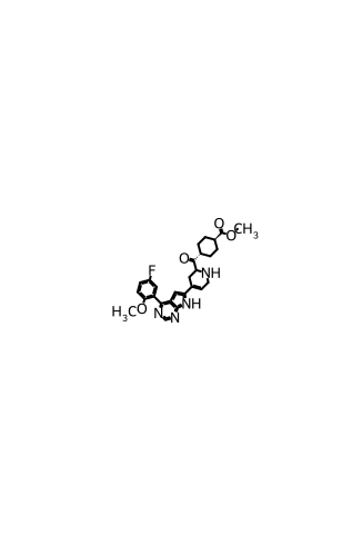 COc1ccc(F)cc1-c1ncnc2[nH]c(C3=CCNC(C(=O)[C@H]4CC[C@H](C(=O)OC)CC4)C3)cc12